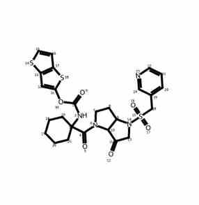 O=C(NC1(C(=O)N2CCC3C2C(=O)CN3S(=O)(=O)Cc2cccnc2)CCCCC1)Oc1cc2sccc2s1